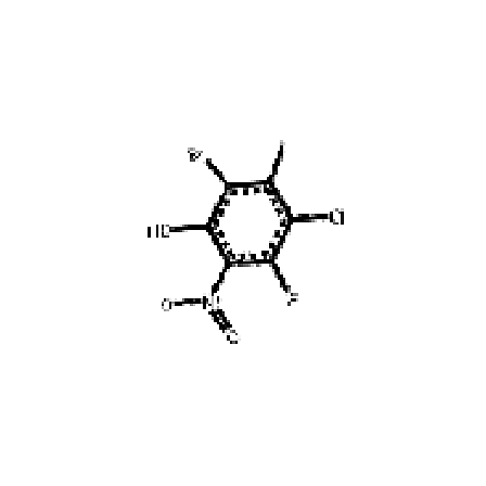 O=[N+]([O-])c1c(O)c(Br)c(F)c(Cl)c1F